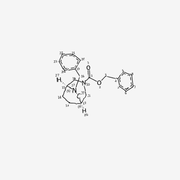 O=C(OCc1ccccc1)N1C[C@H]2CC[C@@H](C1)N(Cc1ccccc1)C2